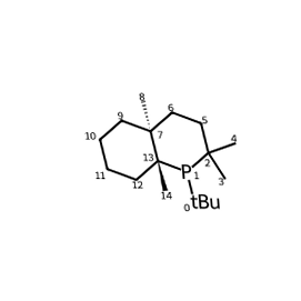 CC(C)(C)P1C(C)(C)CC[C@]2(C)CCCC[C@@]12C